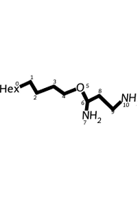 CCCCCCCCCCOC(N)CCN